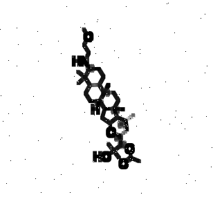 COCCN[C@H]1CCC2C(CC[C@H]3C4CC5O[C@@H]([C@H](OC(C)=O)C(C)(C)O)C[C@@H](C)C5[C@@]4(C)CC[C@@]23C)C1(C)C